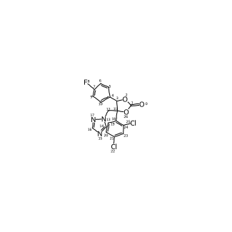 O=C1OC(c2ccc(F)cc2)C(Cn2cncn2)(c2ccc(Cl)cc2Cl)O1